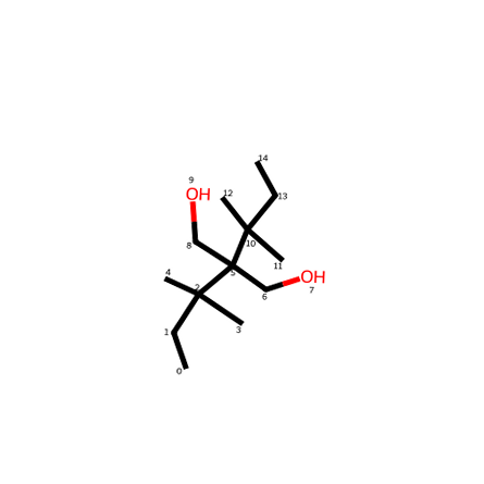 CCC(C)(C)C(CO)(CO)C(C)(C)CC